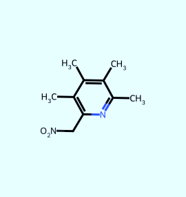 Cc1nc(C[N+](=O)[O-])c(C)c(C)c1C